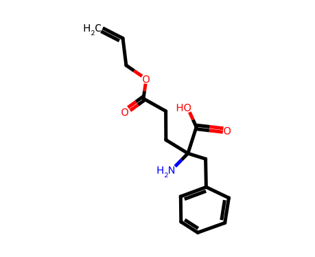 C=CCOC(=O)CCC(N)(Cc1ccccc1)C(=O)O